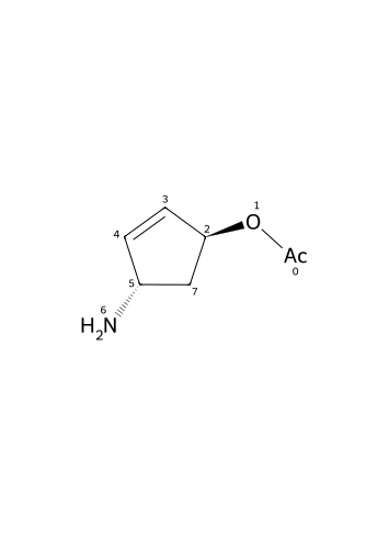 CC(=O)O[C@@H]1C=C[C@@H](N)C1